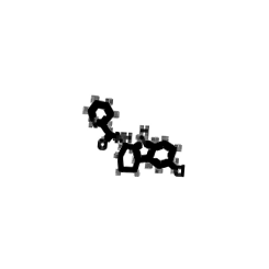 O=C(N[C@H]1CCCc2c1[nH]c1ccc(Cl)cc21)c1ccccn1